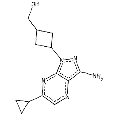 Nc1nn(C2CC(CO)C2)c2nc(C3CC3)cnc12